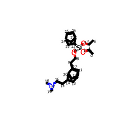 CCO[Si](OCC)(OCCC1=CC2CC(CCN(C)C)C1C2)C1CC2C=CC1C2